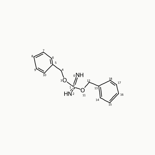 N=S(=N)(OCc1ccccc1)OCc1ccccc1